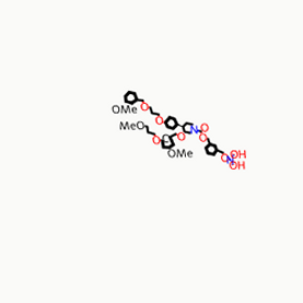 COCCCOc1cc(COC2CN(C(=O)OCc3cccc(CON(O)O)c3)CC[C@@H]2c2ccc(OCCCOCc3ccccc3OC)cc2)cc(OC)c1